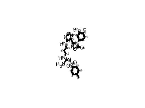 Cc1ccc(S(=O)(=O)/N=C(\N)NCCCNc2nonc2-c2noc(=O)n2-c2ccc(F)c(Br)c2)cc1